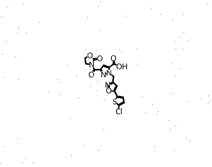 O=C(O)c1cc(C(=O)N2CCOC2=O)nn1Cc1cc(-c2ccc(Cl)s2)on1